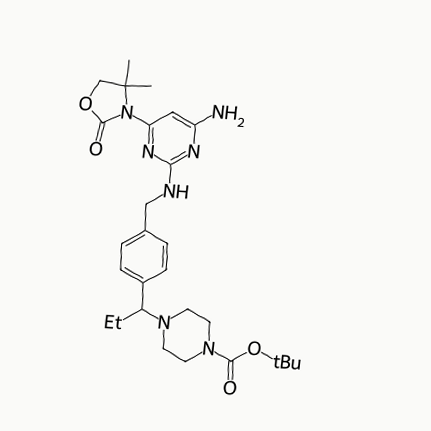 CCC(c1ccc(CNc2nc(N)cc(N3C(=O)OCC3(C)C)n2)cc1)N1CCN(C(=O)OC(C)(C)C)CC1